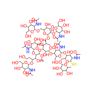 CCOC(OC1C(O)C(COC2OC(COC3OC(CO)C(O)C(O)C3NC(C)=O)C(O)C(O)C2OC2OC(CO)C(O)C(O)C2NC(C)=O)COC(OC2C(CO)OC(OC3C(COC4OC(C)C(O)C(O)C4O)OC(S)C(NC(C)=O)C3O)C(NC(C)=O)C2O)C1O)C(OC1OC(CO)C(O)C(O)C1NC(C)=O)C(O)C(CCO)OC1OC(CO)C(O)C(O)C1NC(C)=O